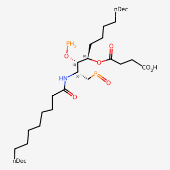 CCCCCCCCCCCCCCCCCC(=O)N[C@@H](CP=O)[C@H](OP)[C@@H](CCCCCCCCCCCCCC)OC(=O)CCC(=O)O